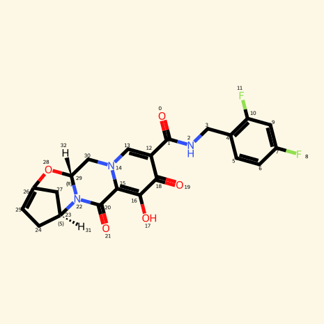 O=C(NCc1ccc(F)cc1F)c1cn2c(c(O)c1=O)C(=O)N1[C@H]3CC=C(C3)O[C@@H]1C2